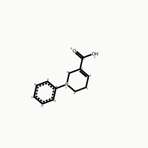 O=C(O)C1=CCCN(c2ccccc2)C1